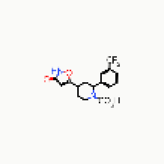 O=C(O)N1CCC(c2cc(=O)[nH]o2)CC1c1cccc(C(F)(F)F)c1